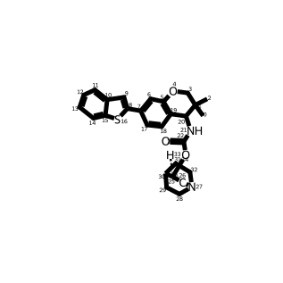 CC1(C)COc2cc(-c3cc4ccccc4s3)ccc2C1NC(=O)O[C@H]1CN2CCC1CC2